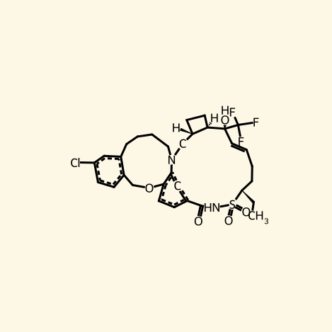 CC[C@@H]1CC/C=C/[C@@](O)(C(F)(F)F)[C@@H]2CC[C@H]2CN2CCCCc3cc(Cl)ccc3COc3ccc(cc32)C(=O)NS1(=O)=O